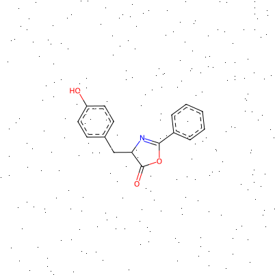 O=C1OC(c2ccccc2)=NC1Cc1ccc(O)cc1